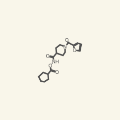 O=C(NOC(=O)C1CCCCC1)C1CCN(C(=O)c2ccco2)CC1